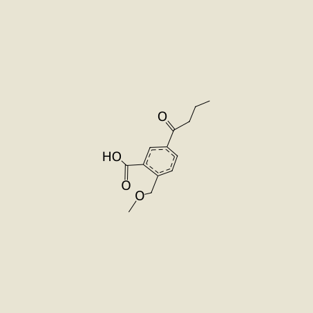 CCCC(=O)c1ccc(COC)c(C(=O)O)c1